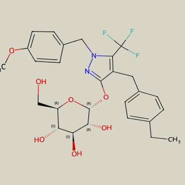 CCc1ccc(Cc2c(O[C@H]3O[C@H](CO)[C@@H](O)[C@H](O)[C@H]3O)nn(Cc3ccc(OC)cc3)c2C(F)(F)F)cc1